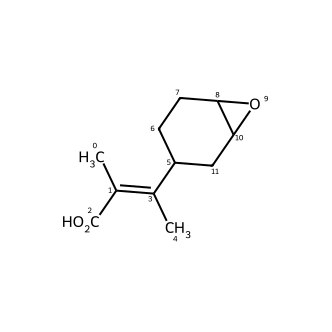 C/C(C(=O)O)=C(/C)C1CCC2OC2C1